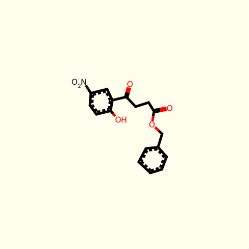 O=C(CCC(=O)c1cc([N+](=O)[O-])ccc1O)OCc1ccccc1